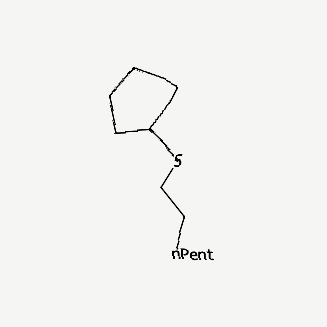 CCCCCCCSC1CCCC1